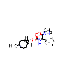 CNC(=O)[C@@H](NC(=O)OC[C@H]1[C@@H]2CC/C(C)=C\CC[C@@H]21)C(C)C